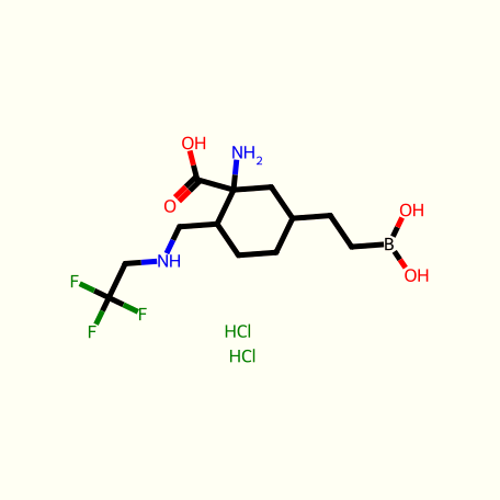 Cl.Cl.NC1(C(=O)O)CC(CCB(O)O)CCC1CNCC(F)(F)F